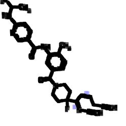 C#CC/C=C\C(=N/C#C)C1(F)CCN(C(=O)c2c#cc(C)c(NC(=O)c3ccc(NC(C)C)nc3)c2)CC1